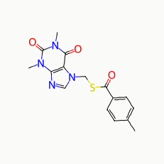 Cc1ccc(C(=O)SCn2cnc3c2c(=O)n(C)c(=O)n3C)cc1